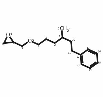 [CH2]C(CCCOCC1CO1)CCc1ccccc1